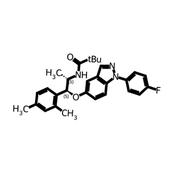 Cc1ccc([C@H](Oc2ccc3c(cnn3-c3ccc(F)cc3)c2)[C@H](C)NC(=O)C(C)(C)C)c(C)c1